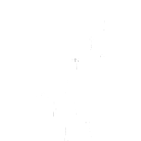 CCCOC(=O)NCCc1cc(OC)c(Br)cc1OC